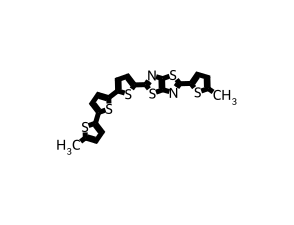 Cc1ccc(-c2ccc(-c3ccc(-c4nc5sc(-c6ccc(C)s6)nc5s4)s3)s2)s1